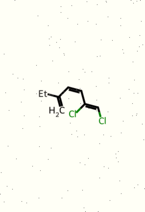 C=C(/C=C\C(Cl)=C\Cl)CC